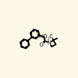 CC1(C(=O)O)CCN1C(=O)Cc1cccc(-c2ccccc2)c1